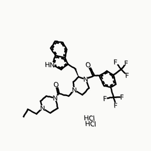 CCCN1CCN(C(=O)CN2CCN(C(=O)c3cc(C(F)(F)F)cc(C(F)(F)F)c3)[C@H](Cc3c[nH]c4ccccc34)C2)CC1.Cl.Cl